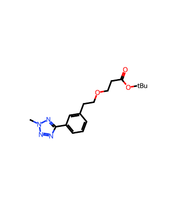 Cn1nnc(-c2cccc(CCOCCC(=O)OC(C)(C)C)c2)n1